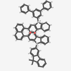 CC1(C)c2ccccc2-c2cc(-n3c4ccccc4c4ccc(-c5cccc6cccc(-c7ccc8c9c(n(-c%10cc(-c%11ccccc%11)cc(-c%11ccccc%11)c%10)c8c7)CCC=C9)c56)cc43)ccc21